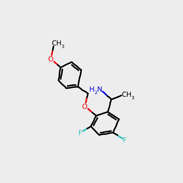 COc1ccc(COc2c(F)cc(F)cc2C(C)N)cc1